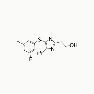 CC(C)c1nc(CCO)n(C)c1Sc1cc(F)cc(F)c1